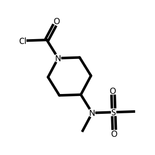 CN(C1CCN(C(=O)Cl)CC1)S(C)(=O)=O